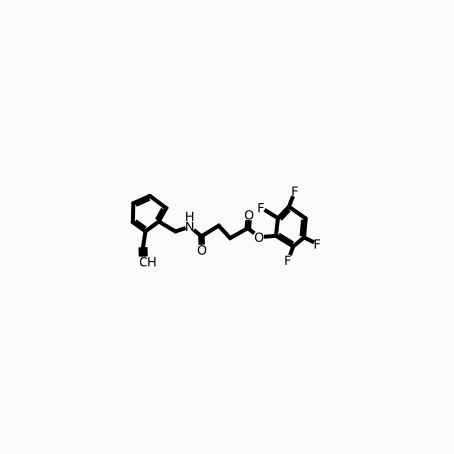 C#Cc1ccccc1CNC(=O)CCC(=O)Oc1c(F)c(F)cc(F)c1F